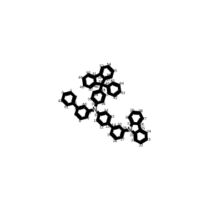 c1ccc(-c2cccc(N(c3ccc(-c4cccc(-n5c6ccccc6c6ccccc65)c4)cc3)c3ccc(C4(c5ccccc5)c5ccccc5-c5ccccc54)cc3)c2)cc1